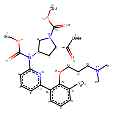 COC(=O)[C@@H]1C[C@H](N(C(=O)OC(C)(C)C)c2cccc(-c3cccc([N+](=O)[O-])c3OCCCN(C)C)n2)CN1C(=O)OC(C)(C)C